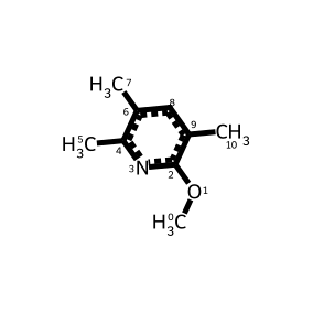 COc1nc(C)c(C)cc1C